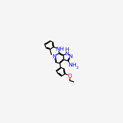 CCOc1cccc(-c2cnc(Nc3ccccc3C)c3[nH]nc(N)c23)c1